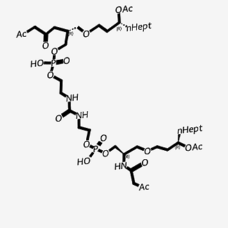 CCCCCCC[C@H](CCOC[C@H](COP(=O)(O)OCCNC(=O)NCCOP(=O)(O)OC[C@@H](COCC[C@@H](CCCCCCC)OC(C)=O)NC(=O)CC(C)=O)CC(=O)CC(C)=O)OC(C)=O